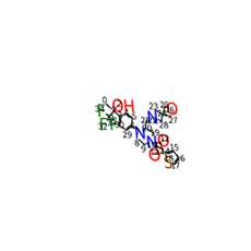 C[C@@](O)(c1ccc(N2CCN(S(=O)(=O)c3cccs3)C[C@@H]2CN2CC3(COC3)C2)cc1)C(F)(F)F